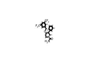 NC(=O)N1CCC(OCc2cc(C(F)(F)F)cc(C(F)(F)F)c2)C(c2ccccc2)C1